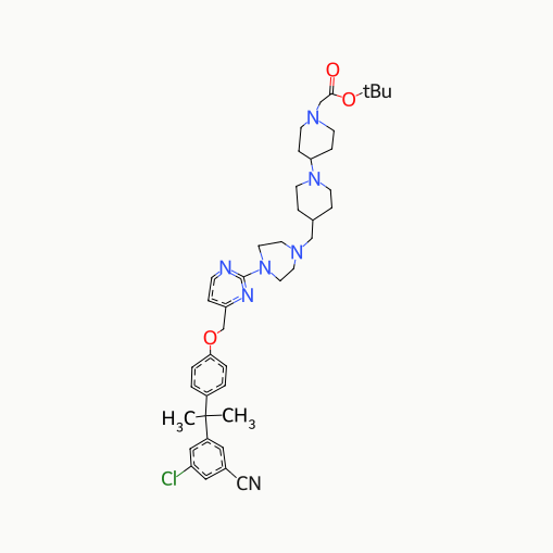 CC(C)(C)OC(=O)CN1CCC(N2CCC(CN3CCN(c4nccc(COc5ccc(C(C)(C)c6cc(Cl)cc(C#N)c6)cc5)n4)CC3)CC2)CC1